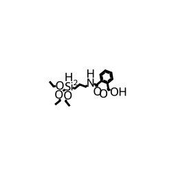 CCOC(OCC)(OCC)[SiH2]CCCNC(=O)c1ccccc1C(=O)O